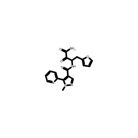 Cn1ncc(C(=O)NC(Cc2ccco2)C(=O)C(N)=O)c1-c1ccccn1